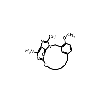 COc1ccc2cc1Cn1c(O)nc3c(N)nc(nc31)OCCCCC2